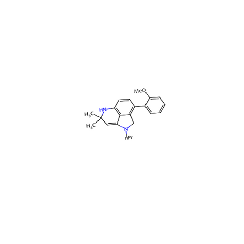 CCCN1Cc2c(-c3ccccc3OC)ccc3c2C1=CC(C)(C)N3